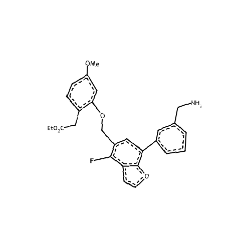 CCOC(=O)Cc1ccc(OC)cc1OCc1cc(-c2cccc(CN)c2)c2occc2c1F